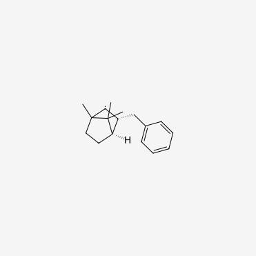 CC12[CH][C@H](Cc3ccccc3)[C@@H](CC1)C2(C)C